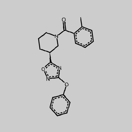 Cc1ccccc1C(=O)N1CCC[C@H](c2nc(Oc3ccccc3)no2)C1